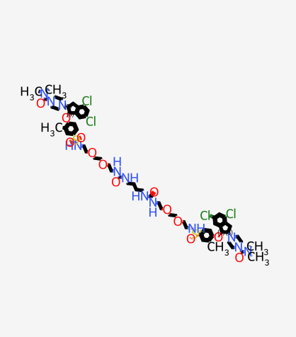 Cc1cc([S+]([O-])NCCOCCOCCNC(=O)NCCCCNC(=O)NCCOCCOCCNS(=O)(=O)c2ccc(O[C@H]3c4cc(Cl)cc(Cl)c4C[C@@H]3N3CCN(C(=O)N(C)C)CC3)c(C)c2)ccc1O[C@H]1c2cc(Cl)cc(Cl)c2C[C@@H]1N1CCN(C(=O)N(C)C)CC1